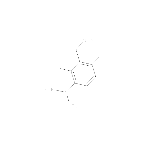 CC(=O)NCc1c(F)ccc(N(C)C=O)c1F